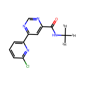 [2H]C([2H])([2H])NC(=O)c1cc(-c2cccc(Cl)n2)ncn1